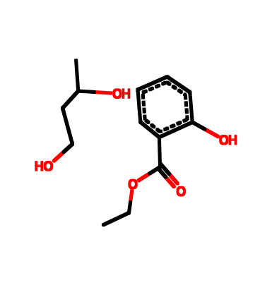 CC(O)CCO.CCOC(=O)c1ccccc1O